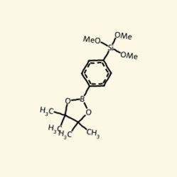 CO[Si](OC)(OC)c1ccc(B2OC(C)(C)C(C)(C)O2)cc1